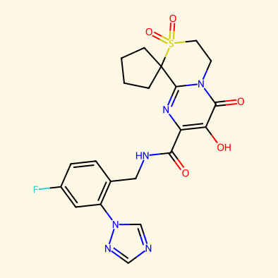 O=C(NCc1ccc(F)cc1-n1cncn1)c1nc2n(c(=O)c1O)CCS(=O)(=O)C21CCCC1